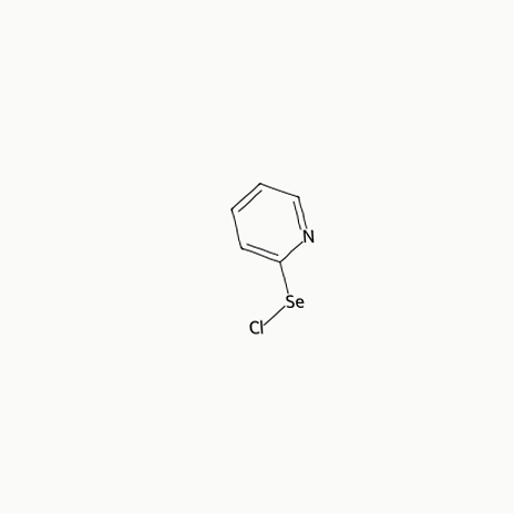 Cl[Se]c1ccccn1